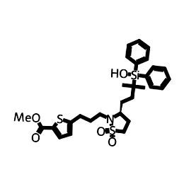 COC(=O)c1ccc(CCCN2[C@@H](CCC(C)(C)[Si](O)(c3ccccc3)c3ccccc3)CCS2(=O)=O)s1